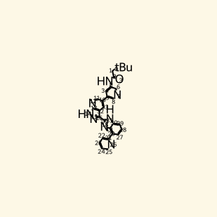 CC(C)(C)CC(=O)Nc1cncc(-c2cnc3[nH]nc(-c4nc5c(-c6ccccn6)cccc5[nH]4)c3c2)c1